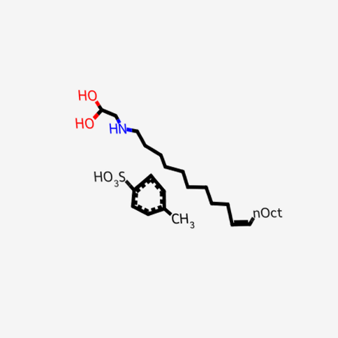 CCCCCCCC/C=C\CCCCCCCCCNCC(O)O.Cc1ccc(S(=O)(=O)O)cc1